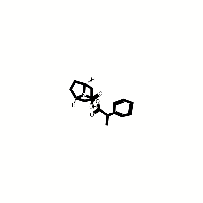 CC(C(=O)O[C@@H]1C[C@H]2CC[C@@H](C1)N2C(=O)O)c1ccccc1